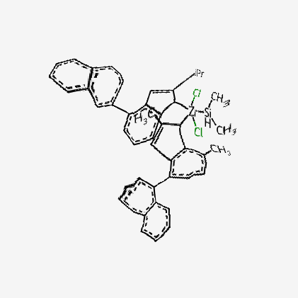 CC1=Cc2c(-c3cccc4ccccc34)ccc(C)c2[CH]1[Zr]([Cl])([Cl])([CH]1C(C(C)C)=Cc2c(-c3ccc4ccccc4c3)cccc21)[SiH](C)C